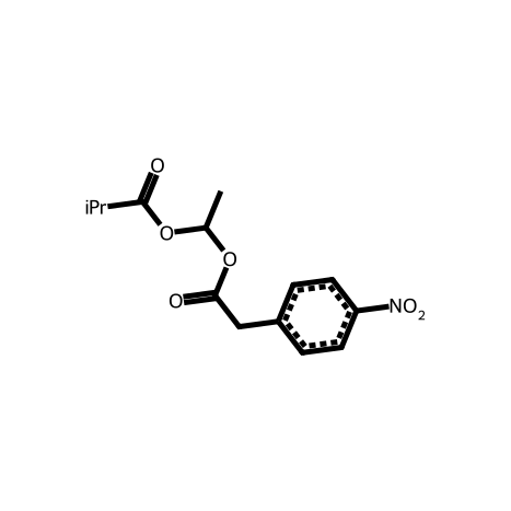 CC(OC(=O)Cc1ccc([N+](=O)[O-])cc1)OC(=O)C(C)C